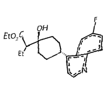 CCOC(=O)C(CC)[C@]1(O)CC[C@H](c2ccnc3ccc(F)cc32)CC1